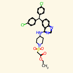 CCOC(=O)CS(=O)(=O)N1CCC(Nc2ncnc3ccc(C(c4ccc(Cl)cc4)c4ccc(Cl)cc4)cc23)CC1